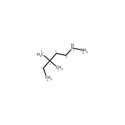 CCC(C)(C)CCNN